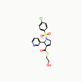 O=C(SCCO)C1=CCN(S(=O)(=O)c2ccc(Cl)cc2)C1c1cccnc1